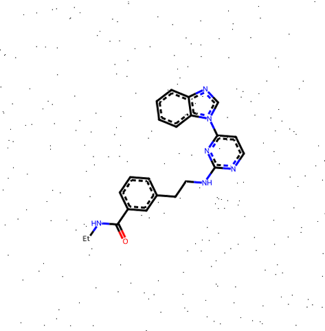 CCNC(=O)c1cccc(CCNc2nccc(-n3cnc4ccccc43)n2)c1